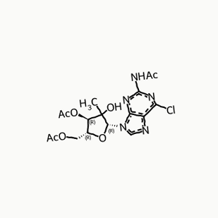 CC(=O)Nc1nc(Cl)c2ncn([C@@H]3O[C@H](COC(C)=O)[C@@H](OC(C)=O)C3(C)O)c2n1